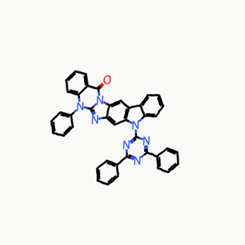 O=c1c2ccccc2n(-c2ccccc2)c2nc3cc4c(cc3n12)c1ccccc1n4-c1nc(-c2ccccc2)nc(-c2ccccc2)n1